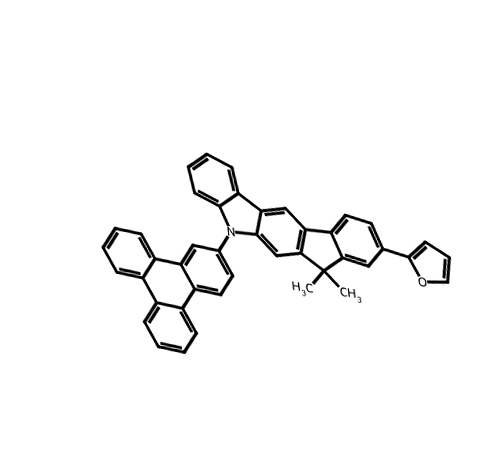 CC1(C)c2cc(-c3ccco3)ccc2-c2cc3c4ccccc4n(-c4ccc5c6ccccc6c6ccccc6c5c4)c3cc21